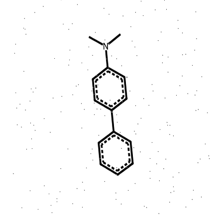 CN(C)c1[c]cc(-c2ccccc2)cc1